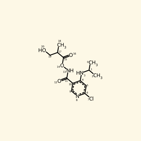 CC(C)Nc1cc(Cl)ncc1C(=O)NOC(=O)C(C)CO